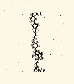 CCCCCCCCC1CCC(c2ccc(OCCCCOC3CCC(c4cc(F)c(C(=O)OCCCCOC)c(F)c4)CC3)cc2)CC1